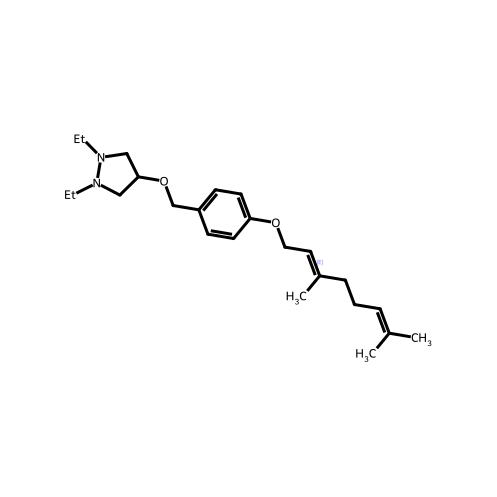 CCN1CC(OCc2ccc(OC/C=C(\C)CCC=C(C)C)cc2)CN1CC